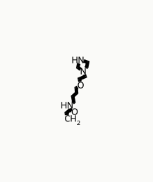 C=CC(=O)NCCCCOCCN1CCNCC1